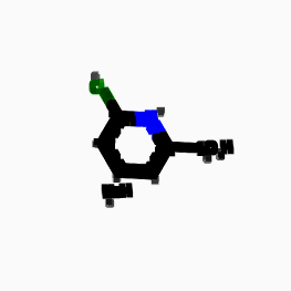 O=S(=O)(O)c1cccc(Cl)n1.[NaH]